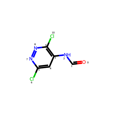 O=CNc1cc(Cl)nnc1Cl